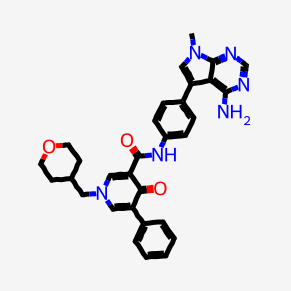 Cn1cc(-c2ccc(NC(=O)c3cn(CC4CCOCC4)cc(-c4ccccc4)c3=O)cc2)c2c(N)ncnc21